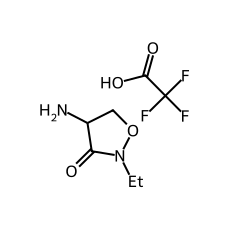 CCN1OCC(N)C1=O.O=C(O)C(F)(F)F